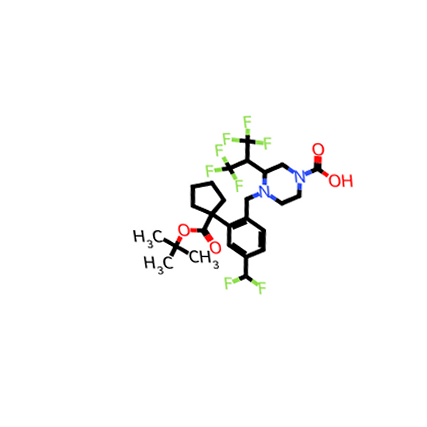 CC(C)(C)OC(=O)C1(c2cc(C(F)F)ccc2CN2CCN(C(=O)O)CC2C(C(F)(F)F)C(F)(F)F)CCCC1